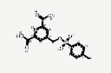 Cc1ccc(S(=O)(=O)OCc2cc(C(=O)O)nc(C(=O)O)c2)cc1